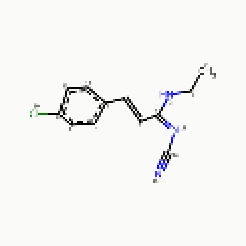 CCNC(/C=C/c1ccc(Cl)cc1)=N/C#N